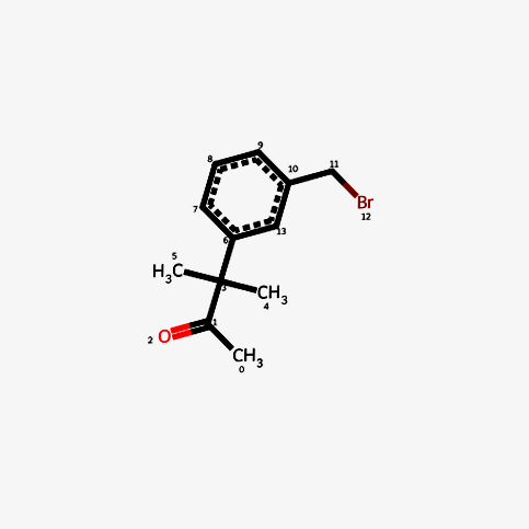 CC(=O)C(C)(C)c1cccc(CBr)c1